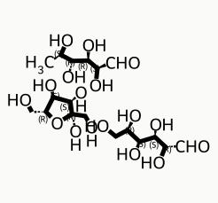 C[C@H](O)[C@@H](O)[C@@H](O)[C@H](O)C=O.O=C[C@H](O)[C@@H](O)[C@@H](O)[C@H](O)CO.OC[C@H]1O[C@](O)(CO)[C@@H](O)[C@@H]1O